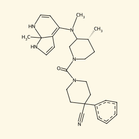 C[C@@H]1CCN(C(=O)N2CCC(C#N)(c3ccccc3)CC2)CC1N(C)C1=C2C=CNC2(C)NC=C1